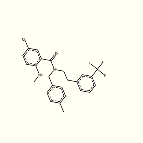 CNc1ccc(Cl)cc1C(=O)N(CCc1cccc(C(F)(F)F)c1)Cc1ccc(C)cc1